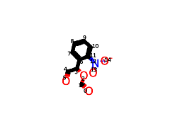 O=COC(C=O)c1ccccc1[N+](=O)[O-]